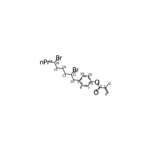 C=C(C)C(=O)Oc1ccc(CC(Br)CCCC(Br)CCC)cc1